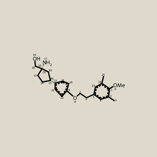 COc1c(C)cc(CCOc2ccc([C@@H]3CC[C@@](N)(CO)C3)cc2)cc1C